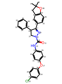 CC1(C)Cc2cc(C3=NN(C(=O)Nc4ccc(Oc5ccc(Cl)cc5)cc4)CC3c3ccccc3)ccc2O1